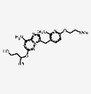 CCCC(CCO)Oc1nc(N)c2ncc(Cc3ccc(OCCNC)nc3OC)n2n1